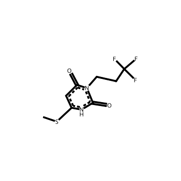 CSc1cc(=O)n(CCC(F)(F)F)c(=O)[nH]1